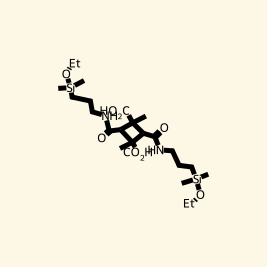 CCO[Si](C)(C)CCCNC(=O)C1C(C)(C(=O)O)C(C(=O)NCCC[Si](C)(C)OCC)C1(C)C(=O)O